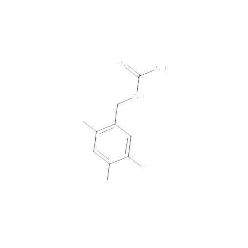 N=C(N)NCc1cc(F)c(F)cc1F